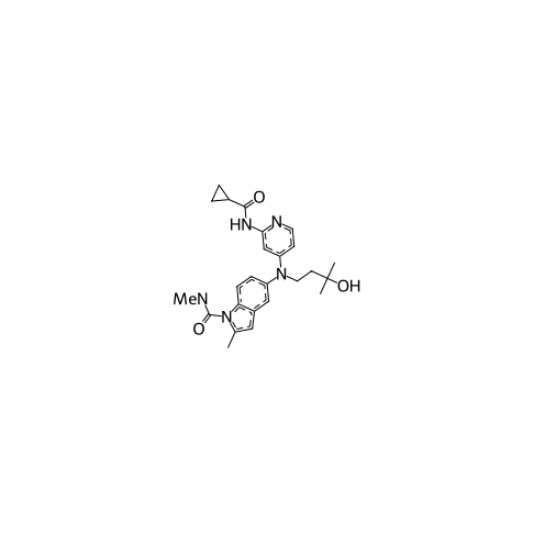 CNC(=O)n1c(C)cc2cc(N(CCC(C)(C)O)c3ccnc(NC(=O)C4CC4)c3)ccc21